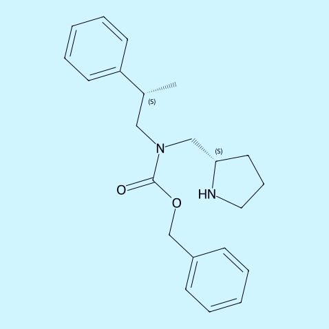 C[C@H](CN(C[C@@H]1CCCN1)C(=O)OCc1ccccc1)c1ccccc1